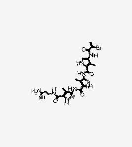 C=C(Br)C(=O)Nc1c[nH]c(C(=O)Nc2n[nH]c(C(=O)Nc3n[nH]c(C(=O)NCCC(=N)N)c3C)c2C)c1C